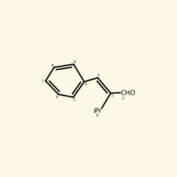 CC(C)/C(C=O)=C\c1ccccc1